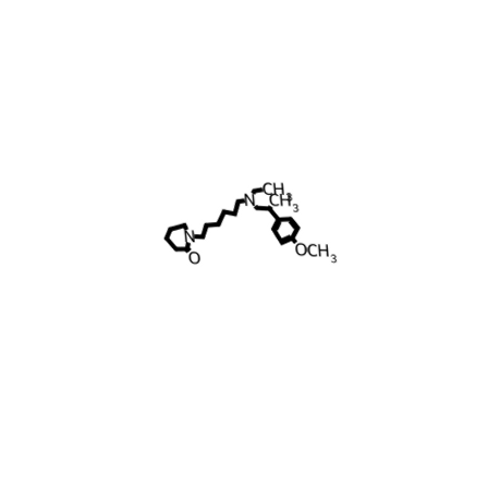 CCN(CCCCCCN1CCCCC1=O)CC(C)c1ccc(OC)cc1